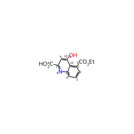 CCOC(=O)c1cccc2nc(C(=O)O)cc(O)c12